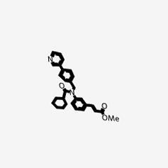 COC(=O)/C=C/c1cccc(N(Cc2ccc(-c3cccnc3)cc2)C(=O)C2CCCCC2)c1